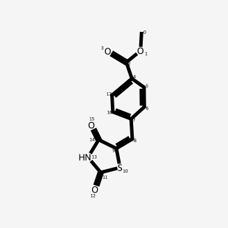 COC(=O)c1ccc(/C=C2/SC(=O)NC2=O)cc1